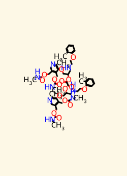 CNC(=O)OCc1cnc(C)c(OCC(CNCCOc2ccccc2C)OC(=O)C(=O)OC(CNCCOc2ccccc2C)COc2c(C)ncc(COC(=O)NC)c2COC(=O)NC)c1COC(=O)NC